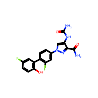 NC(=O)Nc1cn(-c2ccc(-c3cc(F)ccc3O)c(F)c2)nc1C(N)=O